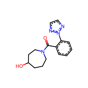 O=C(c1ccccc1-n1nccn1)N1CCCC(O)CC1